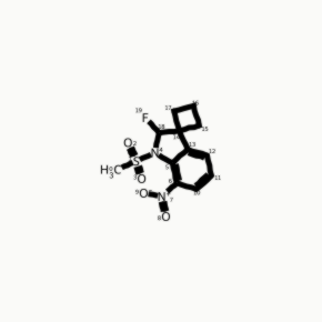 CS(=O)(=O)N1c2c([N+](=O)[O-])cccc2C2(CCC2)C1F